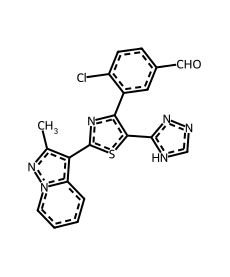 Cc1nn2ccccc2c1-c1nc(-c2cc(C=O)ccc2Cl)c(-c2nnc[nH]2)s1